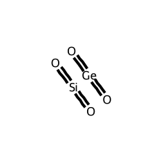 O=[Si]=O.[O]=[Ge]=[O]